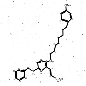 COc1ccc(CCCCCCCCOc2ccc(OCc3ccccc3)nc2C=CC(=O)O)cc1